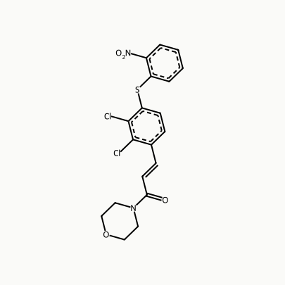 O=C(C=Cc1ccc(Sc2ccccc2[N+](=O)[O-])c(Cl)c1Cl)N1CCOCC1